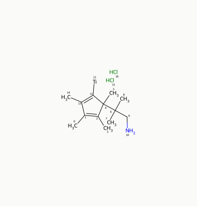 CC1=C(C)C(C)(C(C)(C)CN)[C]([Ti])=C1C.Cl.Cl